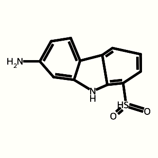 Nc1ccc2c(c1)[nH]c1c([SH](=O)=O)cccc12